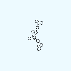 c1ccc(-c2nc(-c3ccc(-c4cccc5c4oc4ccccc45)cc3)cc(-c3ccc(-c4ccc(-n5c6ccccc6c6ccccc65)cc4)c4ccccc34)n2)cc1